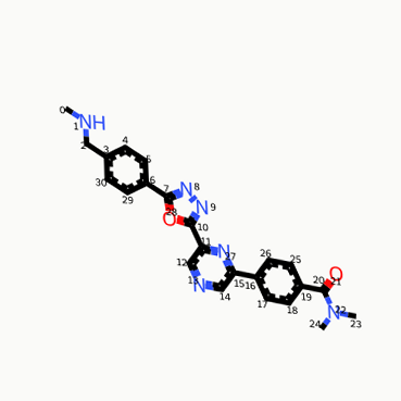 CNCc1ccc(-c2nnc(-c3cncc(-c4ccc(C(=O)N(C)C)cc4)n3)o2)cc1